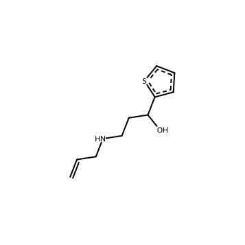 C=CCNCCC(O)c1cccs1